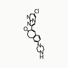 O=C1CCc2cc(N3CCNCC3)ccc2C=C1c1cn2cc(Cl)cnc2n1